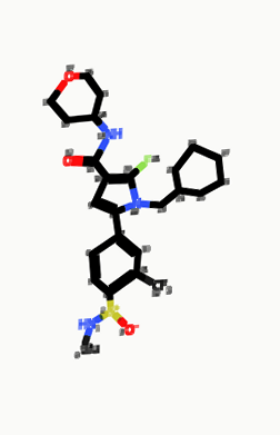 CC(C)(C)N[S+]([O-])c1ccc(-c2cc(C(=O)NC3CCOCC3)c(F)n2CC2CCCCC2)cc1C(F)(F)F